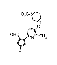 Cc1nc(-c2sc(F)cc2C=O)ccc1O[C@H]1CCC[C@H](C(=O)O)C1